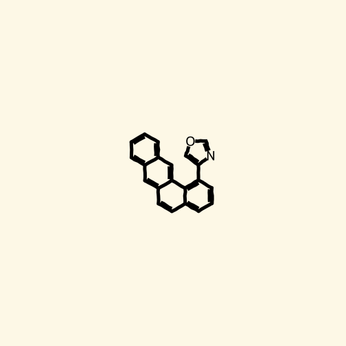 c1ccc2cc3c(ccc4cccc(-c5cocn5)c43)cc2c1